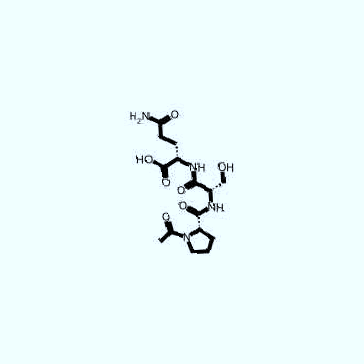 CC(=O)N1CCC[C@H]1C(=O)N[C@@H](CO)C(=O)N[C@@H](CCC(N)=O)C(=O)O